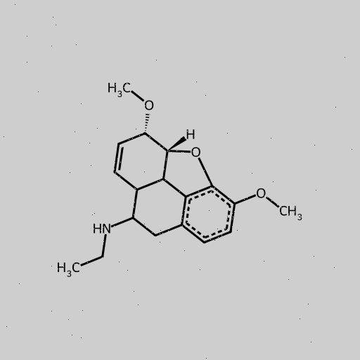 CCNC1Cc2ccc(OC)c3c2C2C1C=C[C@H](OC)[C@@H]2O3